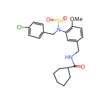 COc1ccc(CNC(=O)C2CCCCC2)cc1N(Cc1ccc(Cl)cc1)[SH](=O)=O